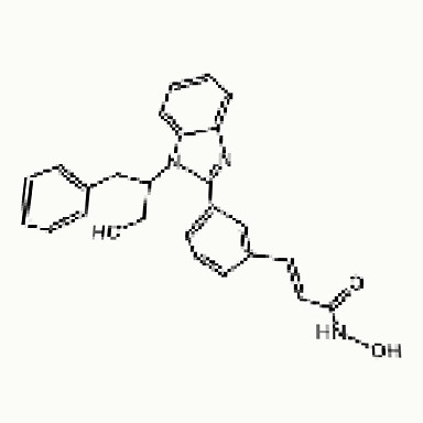 O=C(C=Cc1cccc(-c2nc3ccccc3n2C(CO)Cc2ccccc2)c1)NO